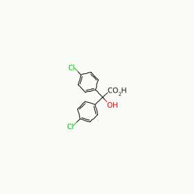 O=C(O)C(O)(c1ccc(Cl)cc1)c1ccc(Cl)cc1